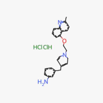 Cc1ccc2c(OCCN3C=CC(Cc4cccc(N)c4)=CC3)cccc2n1.Cl.Cl